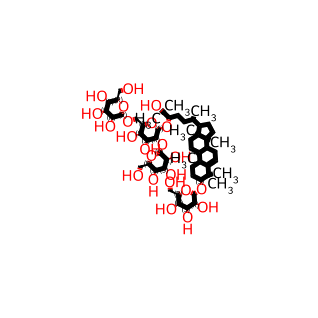 CC(CCC(O[C@@H]1O[C@H](CO[C@@H]2O[C@H](CO)[C@@H](O)[C@H](O)[C@H]2O)[C@@H](O)[C@H](O)[C@H]1O[C@@H]1O[C@H](CO)[C@@H](O)[C@H](O)[C@H]1O)C(C)(C)O)C1CCC2(C)C3CC=C4C(CC[C@H](OC5O[C@H](CO)[C@@H](O)[C@H](O)[C@H]5O)C4(C)C)C3(C)CCC12C